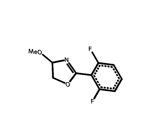 COC1COC(c2c(F)cccc2F)=N1